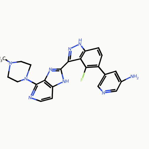 CN1CCN(c2nccc3[nH]c(-c4n[nH]c5ccc(-c6cncc(N)c6)c(F)c45)nc23)CC1